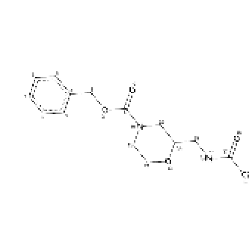 O=C(OCc1ccccc1)N1CCOC(CNC(=O)C(F)(F)F)C1